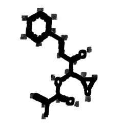 C=C(C)C(=O)OC(C(=O)C=Cc1ccccc1)C1CO1